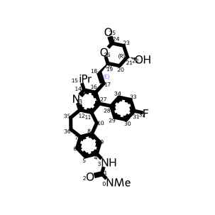 CNC(=O)Nc1ccc2c(c1)Cc1c(nc(C(C)C)c(/C=C/[C@@H]3C[C@@H](O)CC(=O)O3)c1-c1ccc(F)cc1)CC2